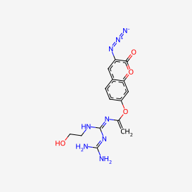 C=C(/N=C(\N=C(N)N)NCCO)Oc1ccc2cc(N=[N+]=[N-])c(=O)oc2c1